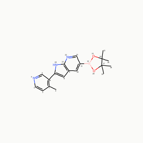 Cc1ccncc1-c1cc2cc(B3OC(C)(C)C(C)(C)O3)cnc2[nH]1